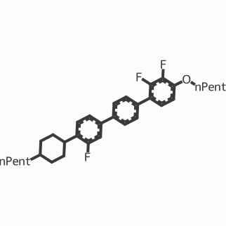 CCCCCOc1ccc(-c2ccc(-c3ccc(C4CCC(CCCCC)CC4)c(F)c3)cc2)c(F)c1F